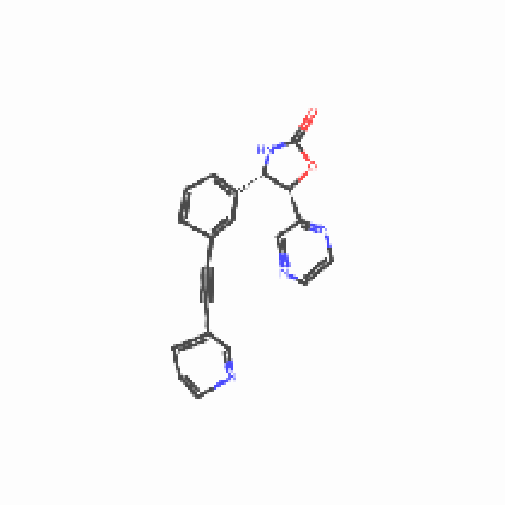 O=C1N[C@@H](c2cccc(C#Cc3cccnc3)c2)[C@H](c2cnccn2)O1